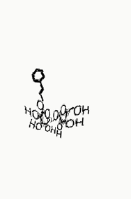 OC[C@@H]1O[C@@H](OC[C@H]2O[C@@H](OCC=Cc3ccccc3)[C@H](O)[C@@H](O)[C@@H]2O)[C@H](O)[C@H]1O